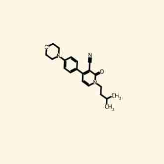 CC(C)CCn1ccc(-c2ccc(N3CCOCC3)cc2)c(C#N)c1=O